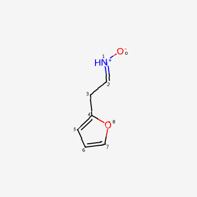 [O-][NH+]=CCc1ccco1